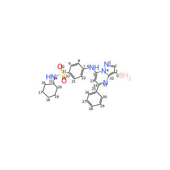 Bc1cnn2c(Nc3ccc(S(=O)(=O)NC4CCCCC4)cc3)cc(-c3ccccc3)nc12